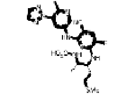 CSCC[C@@H](Nc1nc(Nc2cnc(C)c(-n3nccn3)c2)c(C#N)cc1F)[C@H](C)NC(=O)O